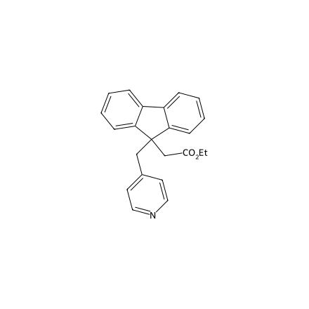 CCOC(=O)CC1(Cc2ccncc2)c2ccccc2-c2ccccc21